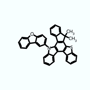 CC1(C)c2ccccc2-c2c1c1sc3ccccc3c1c1c3ccccc3n(-c3ccc4oc5ccccc5c4c3)c21